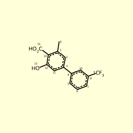 Cc1cc(-c2cccc(C(F)(F)F)c2)cc(O)c1C(=O)O